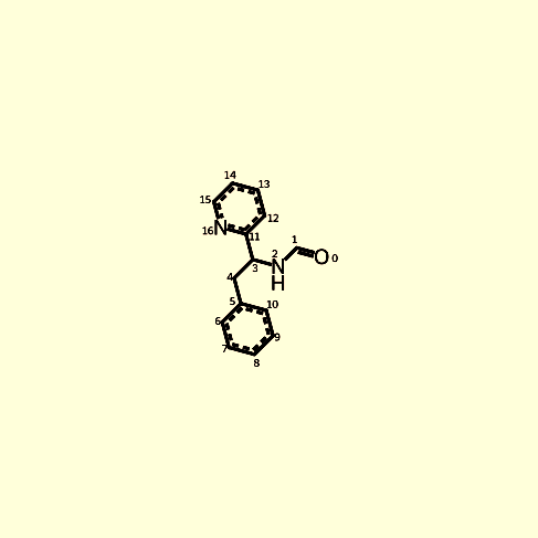 O=CNC(Cc1ccccc1)c1ccccn1